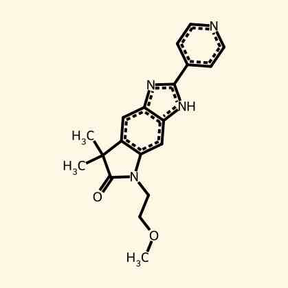 COCCN1C(=O)C(C)(C)c2cc3nc(-c4ccncc4)[nH]c3cc21